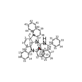 CC12C=Cc3c(n(-c4ccccc4)c4ccccc34)C1N(C1=Nc3ccccc3C(c3ccccc3)N1)c1ccc3ccccc3c12